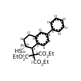 CCOC(=O)C(C(=O)OCC)(C(=O)OCC)C1c2ccc(-c3ccccc3)cc2CC[C@H]1S